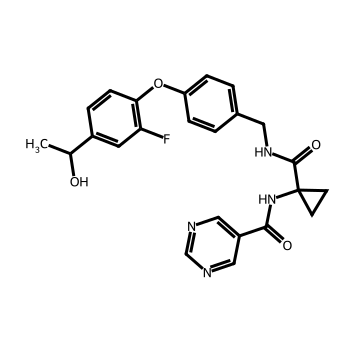 CC(O)c1ccc(Oc2ccc(CNC(=O)C3(NC(=O)c4cncnc4)CC3)cc2)c(F)c1